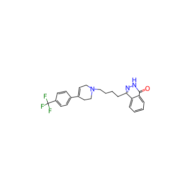 O=c1[nH]nc(CCCCN2CC=C(c3ccc(C(F)(F)F)cc3)CC2)c2ccccc12